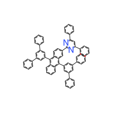 c1ccc(-c2cc(-c3ccccc3)cc(-c3c4ccccc4c(-c4cc(-c5ccccc5)cc(-c5ccccc5)c4)c4cc(-c5nc(-c6ccccc6)cc(-c6ccccc6)n5)ccc34)c2)cc1